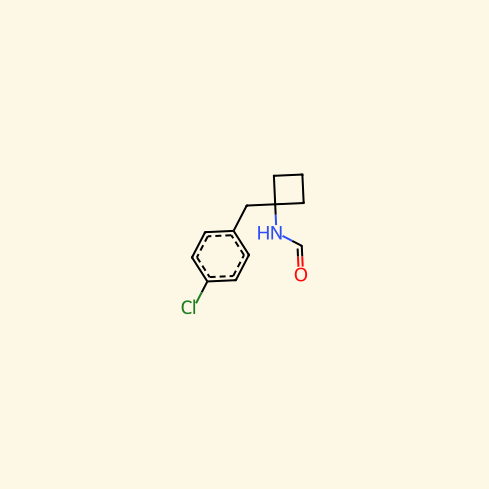 O=CNC1(Cc2ccc(Cl)cc2)CCC1